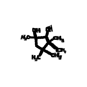 CC1(O)CC(C)(C)C(C)(C)C1O